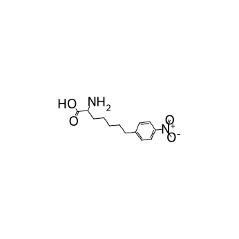 NC(CCCCCc1ccc([N+](=O)[O-])cc1)C(=O)O